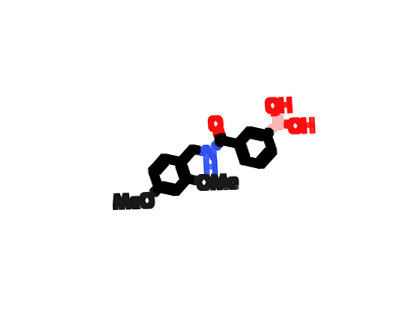 COc1ccc(CNC(=O)c2cccc(B(O)O)c2)c(OC)c1